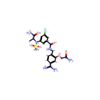 CCCS(=O)(=O)N(c1cc(Cl)cc(C(=O)NCc2ccc(C(=N)N)cc2OCC(N)=O)c1)C(C)C(N)=O